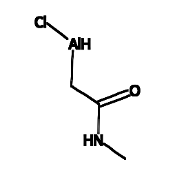 CNC(=O)[CH2][AlH][Cl]